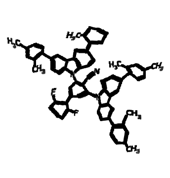 Cc1ccc(-c2ccc3c(c2)c2cc(-c4ccccc4C)ccc2n3-c2cc(-c3c(F)cccc3F)cc(-n3c4ccc(-c5ccc(C)cc5C)cc4c4cc(-c5ccc(C)cc5C)ccc43)c2C#N)c(C)c1